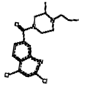 CCCN1CCN(C(=O)c2ccc3c(Cl)cc(Cl)nc3c2)CC1C